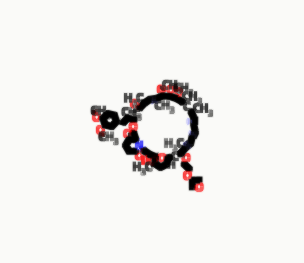 CO[C@@H]1/C(C)=C/[C@@H](C)C(=O)C[C@@H]([C@H](C)C[C@@H]2CC[C@@H](OC)[C@H](OC)C2)OC(=O)[C@@H]2CCCCN2C(=O)C(=O)[C@]2(O)O[C@@H](CC[C@H]2C)C[C@@H](OCCOC2COC2)/C(C)=C/C=C/C=C/[C@@H](C)C[C@@H](C)C(=O)[C@@H]1OC